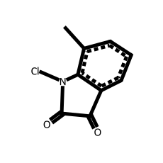 Cc1cccc2c1N(Cl)C(=O)C2=O